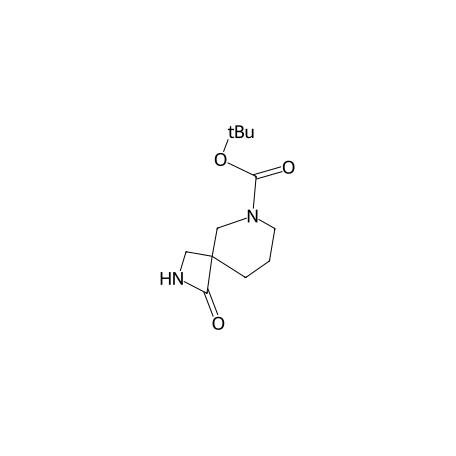 CC(C)(C)OC(=O)N1CCCC2(CNC2=O)C1